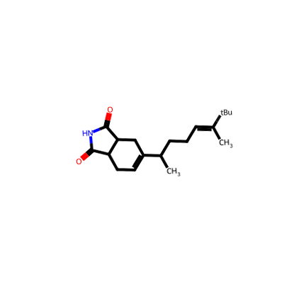 C/C(=C\CCC(C)C1=CCC2C(=O)NC(=O)C2C1)C(C)(C)C